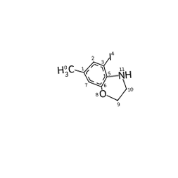 Cc1cc(I)c2c(c1)OCCN2